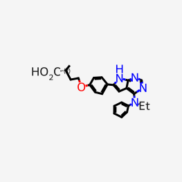 CCN(c1ccccc1)c1ncnc2[nH]c(-c3ccc(OCC[C@@H](C)C(=O)O)cc3)cc12